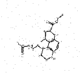 CCOC(=O)C1C=C(C)c2c(ccc3c2C(CCNC(C)=O)CCS3)S1